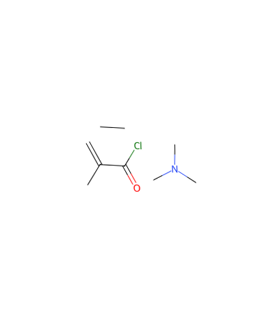 C=C(C)C(=O)Cl.CC.CN(C)C